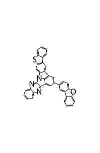 c1ccc2nc3c(nc2c1)c1cc(-c2ccc4oc5ccccc5c4c2)cc2c4cc5c(cc4n3c21)sc1ccccc15